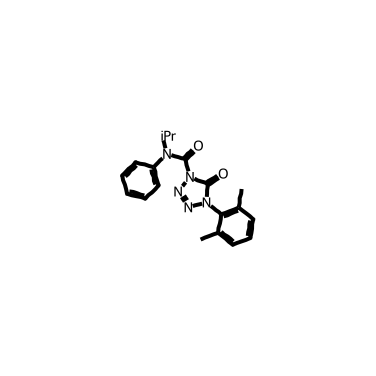 Cc1cccc(C)c1-n1nnn(C(=O)N(c2ccccc2)C(C)C)c1=O